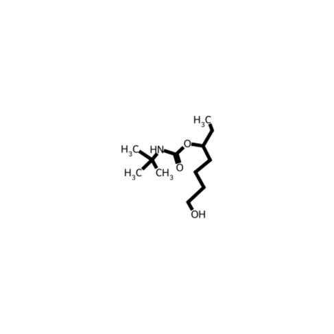 CCC(CCCCO)OC(=O)NC(C)(C)C